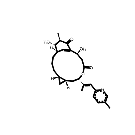 C/C(=C\c1ccc(C)cn1)[C@@H]1C[C@@H]2C[C@@H]2CCC[C@@H]2C=C(C(=O)[C@H](C)[C@H]2O)[C@@H](O)CC(=O)O1